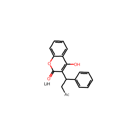 CC(=O)CC(c1ccccc1)c1c(O)c2ccccc2oc1=O.[LiH]